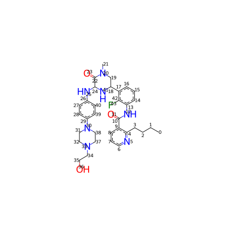 CCCCc1ncccc1C(=O)Nc1cccc(C2CN(C)C(=O)C(Nc3ccc(N4CCN(CCO)CC4)cc3)N2)c1F